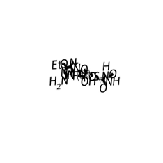 CCOc1nc(N)nc2c1ncn2[C@@H]1O[C@H](COSC[C@@H]2NC(=O)NC2=O)[C@@H](O)[C@@]1(C)F